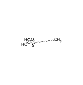 CCCCCCCCCCCCSC(=S)C(CC(=O)O)C(=O)O